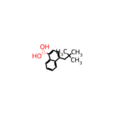 CC(C)(C)Cc1ccc(B(O)O)c2ccccc12